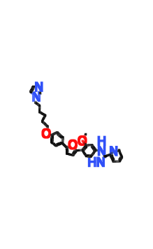 COc1cc(NC(=N)c2ccccn2)ccc1-c1ccc(-c2ccc(OCCCCCCn3ccnc3)cc2)o1